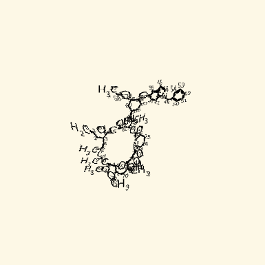 C=CCC1/C=C(\C)CC(C)CC(OC)C2OC(O)(C(=O)C(=O)N3CCCCC3C(=O)OC(C(C)=CC3CCC(Oc4ccc5c(ccn5Cc5ccccc5)c4)C(OCC)C3)C(C)C(O)CC1=O)C(C)CC2OC